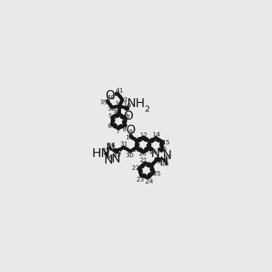 NC(=O)C1(c2cccc(OCc3cc4ccc5nnc(-c6ccccc6)n5c4cc3CCc3nn[nH]n3)c2)CCOCC1